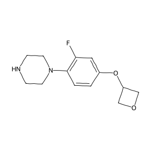 Fc1cc(OC2COC2)ccc1N1CCNCC1